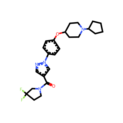 O=C(c1cnn(-c2ccc(OC3CCN(C4CCCC4)CC3)cc2)c1)N1CCC(F)(F)C1